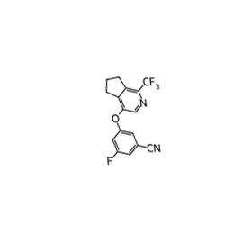 N#Cc1cc(F)cc(Oc2cnc(C(F)(F)F)c3c2CCC3)c1